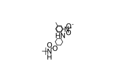 Cc1ccc(NC2CCC(OC(=O)NC(C)(C)C)CC2)c([N+](=O)[O-])c1